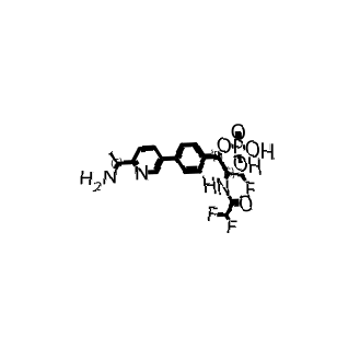 C[C@H](N)c1ccc(-c2ccc([C@@H](OP(=O)(O)O)[C@@H](CF)NC(=O)C(F)F)cc2)cn1